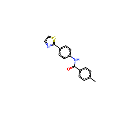 Cc1ccc(C(=O)Nc2ccc(-c3nccs3)cc2)cc1